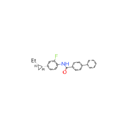 CC[C@H]1C[C@H]1c1ccc(NC(=O)c2ccc(-c3ccccc3)cc2)c(F)c1